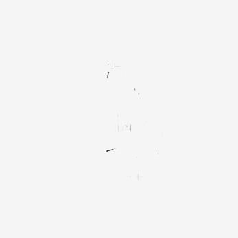 CCCC[C@@H](NC(=O)[C@@H](Cc1ccccc1)NC(=O)[C@H](N)Cc1ccccc1)C(=O)O